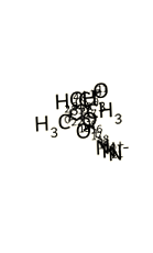 Cc1cc(C)c(C(C)(C)CC=O)c(OC(=O)CCCN=[N+]=[N-])c1